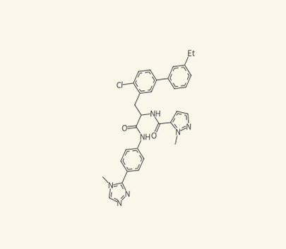 CCc1cccc(-c2ccc(Cl)c(CC(NC(=O)c3ccnn3C)C(=O)Nc3ccc(-c4nncn4C)cc3)c2)c1